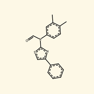 Cc1ccc(N(C=O)c2nc(-c3ccccc3)cs2)cc1C